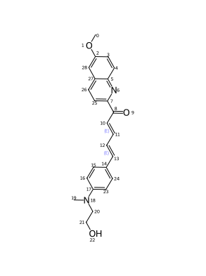 COc1ccc2nc(C(=O)/C=C/C=C/c3ccc(N(C)CCO)cc3)ccc2c1